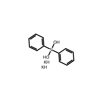 O[Si](O)(c1ccccc1)c1ccccc1.[KH].[KH]